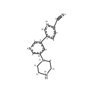 N#Cc1ccc(-c2cncc(N3CCNCC3)c2)cn1